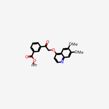 CCCOC(=O)c1cccc(C(=O)COc2ccnc3cc(OC)c(OC)cc23)c1